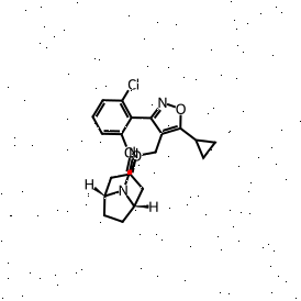 N#CN1[C@@H]2CC[C@H]1CC(OCc1c(-c3c(Cl)cccc3Cl)noc1C1CC1)C2